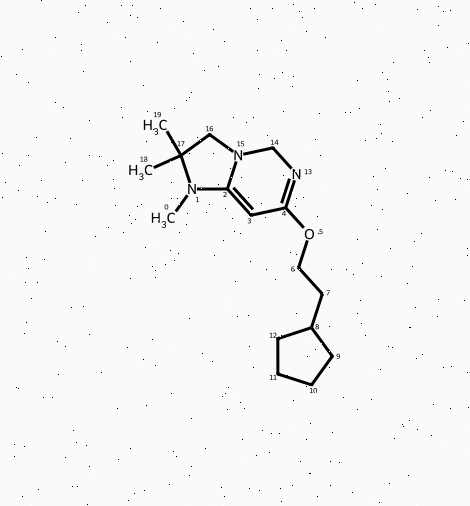 CN1C2=CC(OCCC3CCCC3)=NCN2CC1(C)C